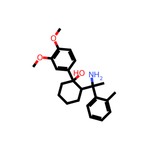 COc1ccc(C2(O)CCCCC2C(C)(N)c2ccccc2C)cc1OC